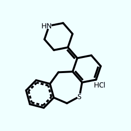 C1=CC2=C(Cc3ccccc3CS2)C(=C2CCNCC2)C1.Cl